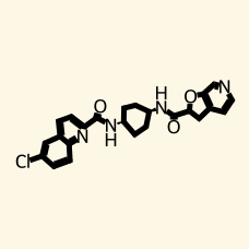 O=C(N[C@H]1CC[C@H](NC(=O)C2Cc3ccncc3O2)CC1)c1ccc2cc(Cl)ccc2n1